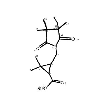 COC(=O)C1C(CN2C(=O)C(C)(C)C(C)(C)C2=O)C1(C)C